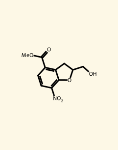 COC(=O)c1ccc([N+](=O)[O-])c2c1CC(CO)O2